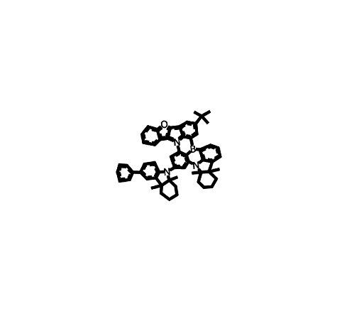 CC(C)(C)c1cc2c3c(c1)c1oc4ccccc4c1n3-c1cc(N3c4ccc(-c5ccccc5)cc4C4(C)CCCCC34C)cc3c1B2c1cccc2c1N3C1(C)CCCCC21C